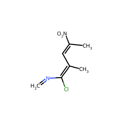 C=N/C(Cl)=C(C)\C=C(/C)[N+](=O)[O-]